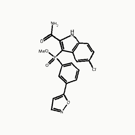 COP(=O)(c1cccc(-c2ccno2)c1)c1c(C(N)=O)[nH]c2ccc(Cl)cc12